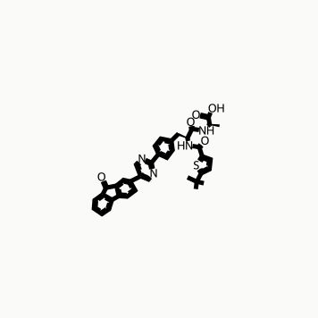 C[C@@H](NC(=O)[C@H](Cc1ccc(-c2ncc(-c3ccc4c(c3)C(=O)c3ccccc3-4)cn2)cc1)NC(=O)c1ccc(C(C)(C)C)s1)C(=O)O